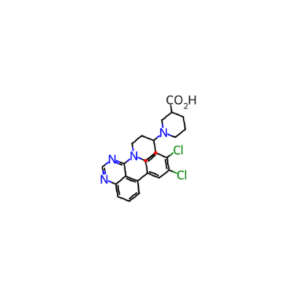 O=C(O)C1CCCN(C2CCN(c3ncnc4cccc(-c5ccc(Cl)c(Cl)c5)c34)CC2)C1